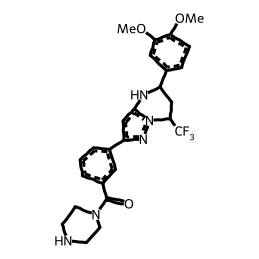 COc1ccc(C2CC(C(F)(F)F)n3nc(-c4cccc(C(=O)N5CCNCC5)c4)cc3N2)cc1OC